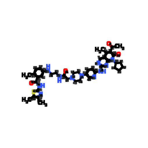 CC(=O)c1c(C)c2cnc(Nc3ccc(N4CCN(CC(=O)NCCNc5ccc(C)c(C(=O)Nc6nc(C)c(C)s6)c5)CC4)cn3)nc2n(C2CCCC2)c1=O